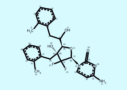 Cc1ccccc1CC(O)[C@H]1O[C@@H](n2ccc(N)nc2=O)C(F)(F)[C@@]1(O)Cc1ccccc1C